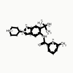 Cc1cccc(C(=O)Nc2cc3cn(C4CCNCC4)nc3cc2C(C)(C)O)n1